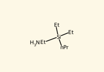 CCC[Si](CC)(CC)CC.N